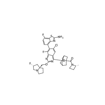 C[C@@H]1CCN1C(=O)C12CC3CC1C(CN(c1nc(OC[C@@]45CCCN4C[C@H](F)C5)nc4c(F)c(-c5ccc(F)c6sc(N)nc56)c(Cl)cc14)C3)C2